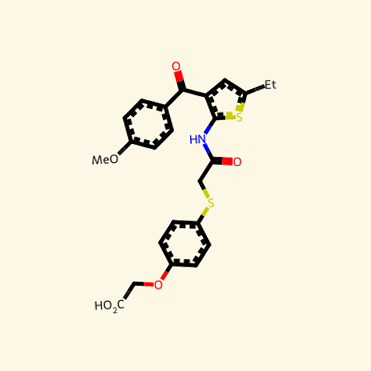 CCc1cc(C(=O)c2ccc(OC)cc2)c(NC(=O)CSc2ccc(OCC(=O)O)cc2)s1